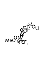 COC(=O)c1csc2c(C(F)(F)F)cc(N3CCN(S(=O)(=O)c4ccc(CNC(=O)c5ccc(Cl)cc5)s4)CC3)nc12